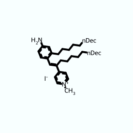 CCCCCCCCCCCCCCCC(=Cc1ccc(N)cc1CCCCCCCCCCCCCCC)c1cc[n+](C)cc1.[I-]